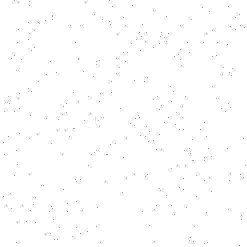 c1ccc2c(c1)B1c3ccccc3-c3cc(-c4ccc5sc6ccccc6c5c4)ccc3N1c1ccccc1-2